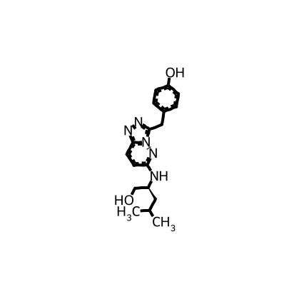 CC(C)C[C@@H](CO)Nc1ccc2nnc(Cc3ccc(O)cc3)n2n1